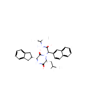 CC(C)C[C@H]1C(=O)N[C@@H](C2Cc3ccccc3C2)C(=O)N1C(C(=O)NC(C)C)c1ccc2ccccc2c1